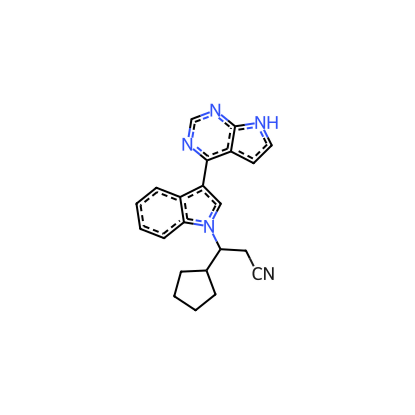 N#CCC(C1CCCC1)n1cc(-c2ncnc3[nH]ccc23)c2ccccc21